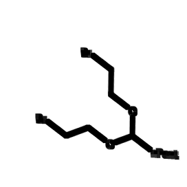 CCCCCC(OCCBr)OCCBr